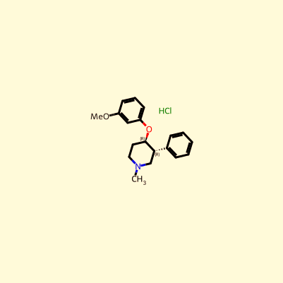 COc1cccc(O[C@@H]2CCN(C)C[C@H]2c2ccccc2)c1.Cl